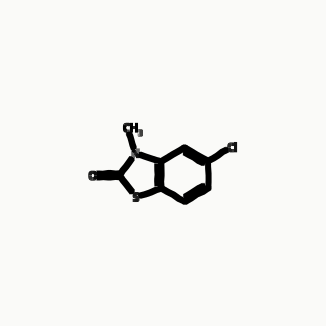 Cn1c(=O)sc2ccc(Cl)cc21